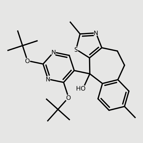 Cc1ccc2c(c1)CCc1nc(C)sc1C2(O)c1cnc(OC(C)(C)C)nc1OC(C)(C)C